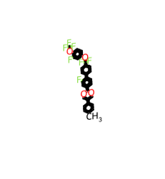 CC1CCC(C2COC(c3ccc(C4CCC(C(F)(F)Oc5ccc(OC(F)(F)F)c(F)c5)CC4)c(F)c3)OC2)CC1